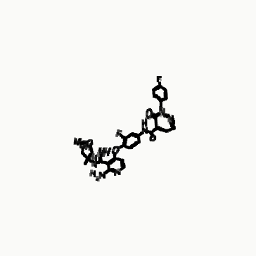 COCC(C)(CO)NC(=N)c1c(Oc2ccc(NC(=O)c3ccnn(-c4ccc(F)cc4)c3=O)cc2F)ccnc1N